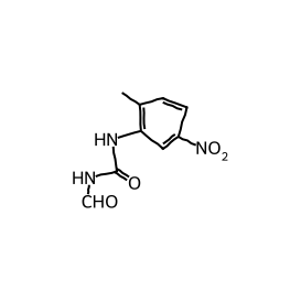 Cc1ccc([N+](=O)[O-])cc1NC(=O)NC=O